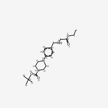 CCOC(=O)CNCc1ccc(N2CCN(C(=O)OC(C)(C)C)CC2)nc1